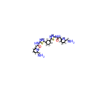 NCc1cccc(CC(=O)Nc2nnc([C@H]3CCC[C@H](c4nnc(NC(=O)Cc5cccc(CN)n5)s4)C3)s2)n1